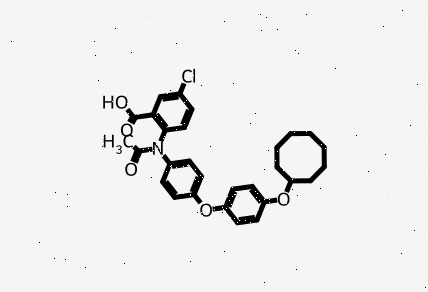 CC(=O)N(c1ccc(Oc2ccc(OC3CCCCCCC3)cc2)cc1)c1ccc(Cl)cc1C(=O)O